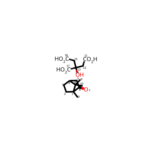 CC12CCC(CC1=O)C2(C)C.O=C(O)CC(O)(CC(=O)O)C(=O)O